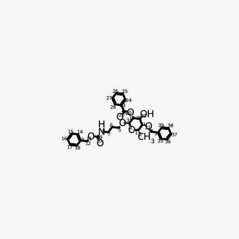 C[C@@H]1O[C@@H](OCCCNC(=O)OCc2ccccc2)[C@H](OC(=O)c2ccccc2)[C@H](O)[C@H]1OCc1ccccc1